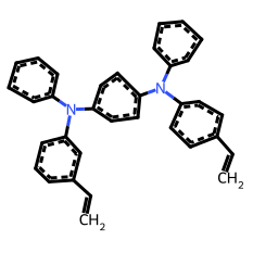 C=Cc1ccc(N(c2ccccc2)c2ccc(N(c3ccccc3)c3cccc(C=C)c3)cc2)cc1